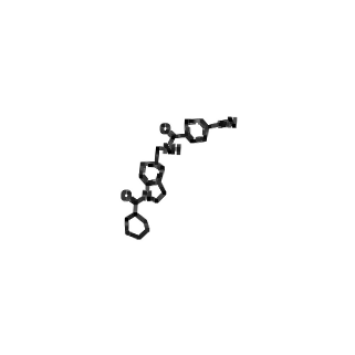 N#Cc1ccc(C(=O)NCc2ccc3c(c2)CCN3C(=O)C2CCCCC2)cc1